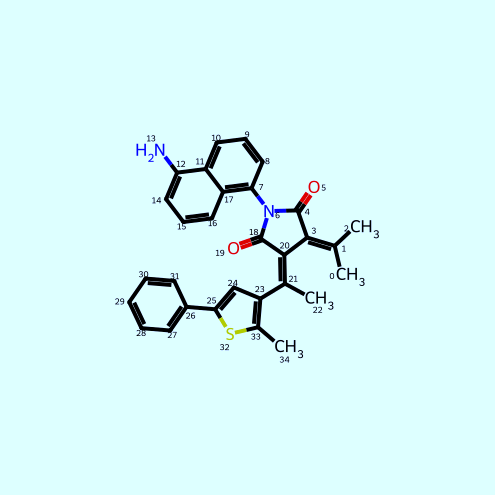 CC(C)=C1C(=O)N(c2cccc3c(N)cccc23)C(=O)C1=C(C)c1cc(-c2ccccc2)sc1C